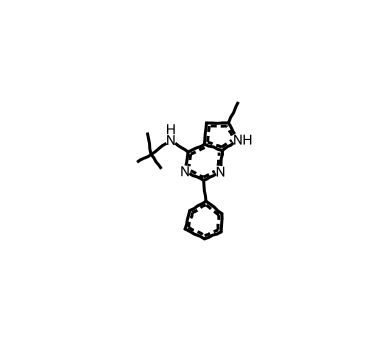 Cc1cc2c(NC(C)(C)C)nc(-c3ccccc3)nc2[nH]1